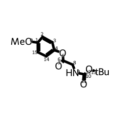 COc1ccc(OC(=O)CNC(=O)OC(C)(C)C)cc1